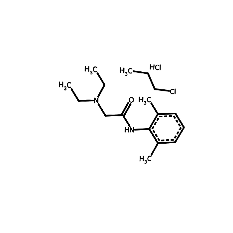 CCCCl.CCN(CC)CC(=O)Nc1c(C)cccc1C.Cl